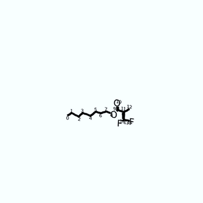 CCCCCCCCOC(=O)C(C)=C(F)F